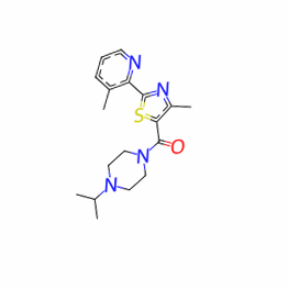 Cc1cccnc1-c1nc(C)c(C(=O)N2CCN(C(C)C)CC2)s1